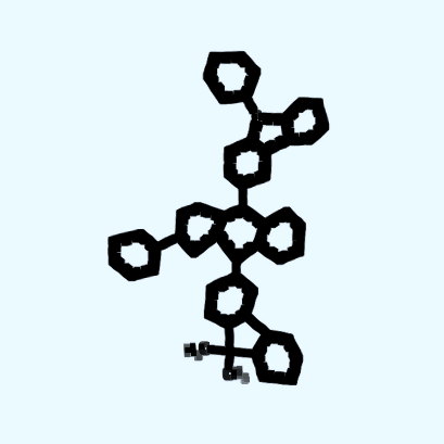 CC1(C)c2ccccc2-c2cc(-c3c4ccccc4c(-c4ccc5c(c4)c4ccccc4p5-c4ccccc4)c4ccc(-c5ccccc5)cc34)ccc21